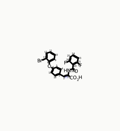 O=C(O)/C(=C/c1ccc(Oc2ccccc2Br)cc1)NC(=O)c1c(F)cccc1F